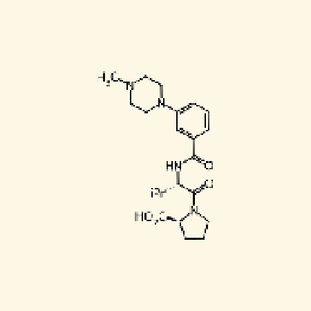 CC(C)[C@H](NC(=O)c1cccc(N2CCN(C)CC2)c1)C(=O)N1CCC[C@H]1C(=O)O